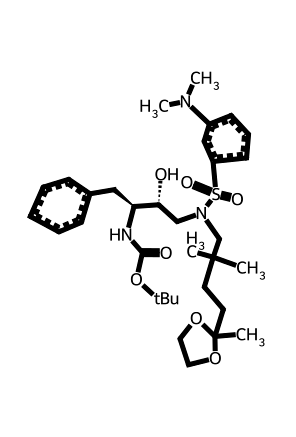 CN(C)c1cccc(S(=O)(=O)N(C[C@@H](O)[C@H](Cc2ccccc2)NC(=O)OC(C)(C)C)CC(C)(C)CCC2(C)OCCO2)c1